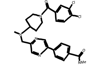 CNC(=O)c1ccc(-c2cnc(CN(C)C3CCN(C(=O)c4ccc(Cl)c(Cl)c4)CC3)cn2)cc1